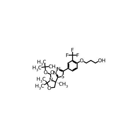 CC(C)(C)OC(=O)N1C(C)(C)OC[C@]1(C)c1nnc(-c2ccc(OCCCO)c(C(F)(F)F)c2)s1